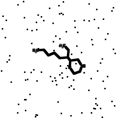 CCCCCC(CC)C1CNCCO1